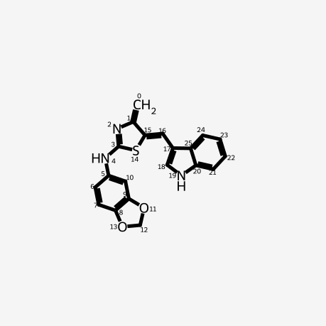 C=c1nc(Nc2ccc3c(c2)OCO3)sc1=Cc1c[nH]c2ccccc12